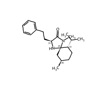 CC(C)[C@@H]1CC[C@@H](C)C[C@]12N[C@@H](CCc1ccccc1)C(=O)N2C